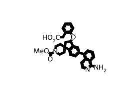 COC(=O)N1CCC2(CC1)CC(Oc1ccccc1CC(=O)O)c1cc(-c3cccc4c(N)nccc34)ccc12